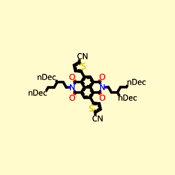 CCCCCCCCCCCCC(CCCCCCCCCC)CCN1C(=O)c2cc(-c3ccc(C#N)s3)c3c4c(cc(-c5ccc(C#N)s5)c(c24)C1=O)C(=O)N(CCC(CCCCCCCCCC)CCCCCCCCCCCC)C3=O